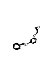 c1ccc(COc2ccnc(OCC3CO3)c2)cc1